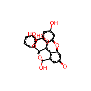 C=C(c1ccccc1C(=O)O)c1c2c(C(=O)O)cc(=O)cc-2oc2cc(O)cc(C(=O)O)c12